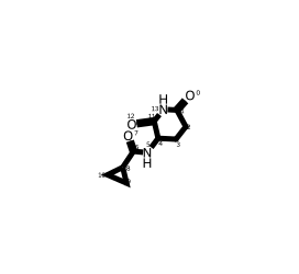 O=C1CCC(NC(=O)C2CC2)C(=O)N1